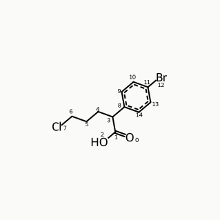 O=C(O)C(CCCCl)c1ccc(Br)cc1